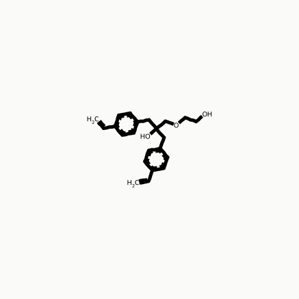 C=Cc1ccc(CC(O)(COCCO)Cc2ccc(C=C)cc2)cc1